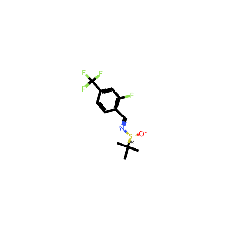 CC(C)(C)[S@+]([O-])N=Cc1ccc(C(F)(F)F)cc1F